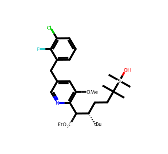 CCOC(=O)C(c1ncc(Cc2cccc(Cl)c2F)cc1OC)[C@H](CCC(C)(C)[Si](C)(C)O)C(C)(C)C